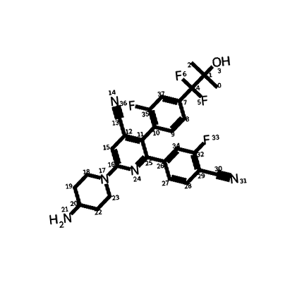 CC(C)(O)C(F)(F)c1ccc(-c2c(C#N)cc(N3CCC(N)CC3)nc2-c2ccc(C#N)c(F)c2)c(F)c1